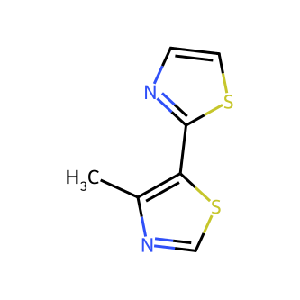 Cc1ncsc1-c1nccs1